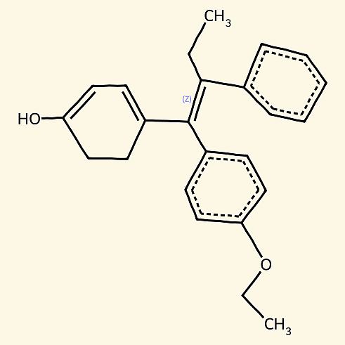 CCOc1ccc(/C(C2=CC=C(O)CC2)=C(/CC)c2ccccc2)cc1